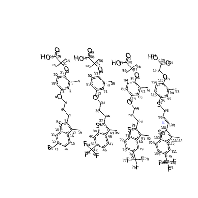 Cc1cc(OCCCc2sc3cc(Br)ccc3c2C)ccc1OC(C)(C)C(=O)O.Cc1cc(OCCCc2sc3cc(C(F)(F)F)ccc3c2C)ccc1OC(C)(C)C(=O)O.Cc1cc(OCCCc2sc3ccc(C(F)(F)F)cc3c2C)ccc1OC(C)(C)C(=O)O.Cc1cc(SC/C=C/c2sc3ccc(C(F)(F)F)cc3c2C)ccc1OCC(=O)O